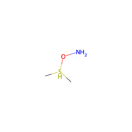 C[SH](C)ON